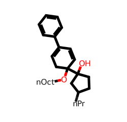 CCCCCCCCOC1(C2(O)CCC(CCC)C2)C=CC(c2ccccc2)=CC1